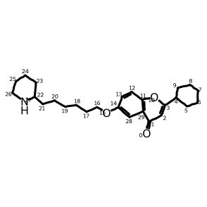 O=c1cc(C2CCCCC2)oc2ccc(OCCCCCCC3CCCCN3)cc12